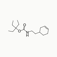 CCC(CC)(CC)OC(=O)NCCC1CC=CCC1